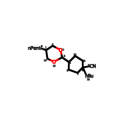 CCCCCC1COC(C2CCC(C#N)(CCCC)CC2)OC1